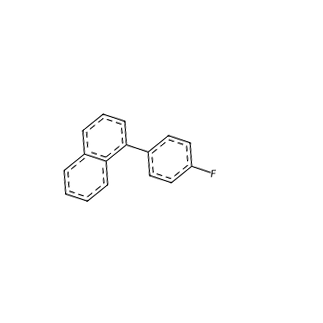 Fc1ccc(-c2cccc3ccccc23)cc1